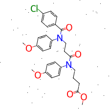 COC(=O)CCCN(C(=O)CCN(C(=O)c1ccc(Cl)cc1)c1ccc(OC)cc1)c1ccc(OC)cc1